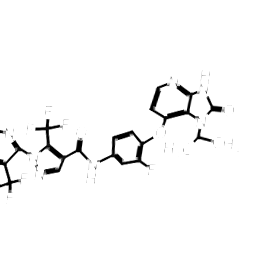 CC(C)n1c(=O)[nH]c2nccc(Oc3ccc(NC(=O)c4cnn(-c5ncccc5C(F)(F)F)c4C(F)(F)F)cc3F)c21